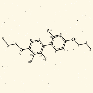 CCCOc1ccc(-c2ccc(OCCC)c(F)c2F)c(F)c1